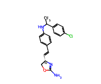 NC1=N[C@@H](C=Cc2ccc(NC(c3ccc(Cl)cc3)C(F)(F)F)cc2)CO1